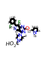 C[C@H]1CN(C(=O)O)CCN1c1nc(OC[C@@H]2CCCN2C)nc2c(F)c(-c3ccccc3F)ncc12